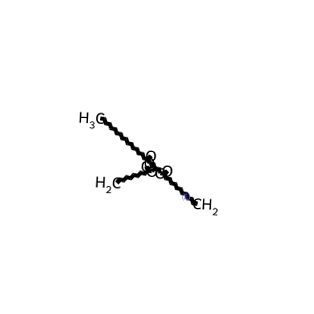 C=CC/C=C/CCCCCCCC(=O)OCC(COC(=O)CCCCCCCCCCCCCCCCC)OC(=O)CCCCCCCC=C